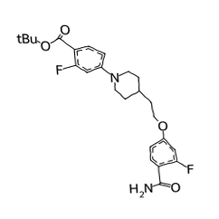 CC(C)(C)OC(=O)c1ccc(N2CCC(CCOc3ccc(C(N)=O)c(F)c3)CC2)cc1F